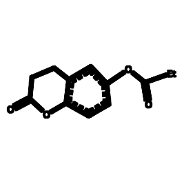 CCC(=O)Oc1ccc2c(c1)CCC(=O)O2